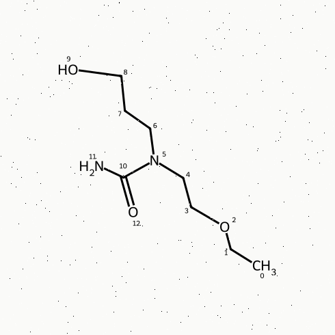 C[CH]OCCN(CCCO)C(N)=O